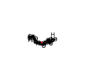 Cn1c(=O)n(C2CCC(=O)NC2=O)c2cccc(C3CCN(C(=O)[C@H]4CC[C@H](n5cc6cc(NC(=O)c7cccc(C(F)(F)F)n7)ccc6n5)CC4)CC3)c21